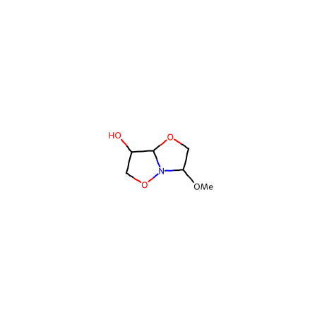 COC1COC2C(O)CON12